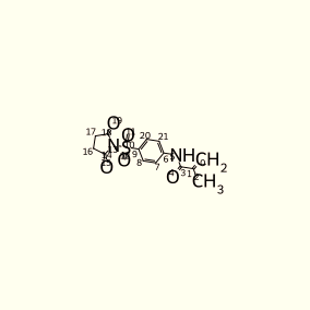 C=C(C)C(=O)Nc1ccc(S(=O)(=O)N2C(=O)CCC2=O)cc1